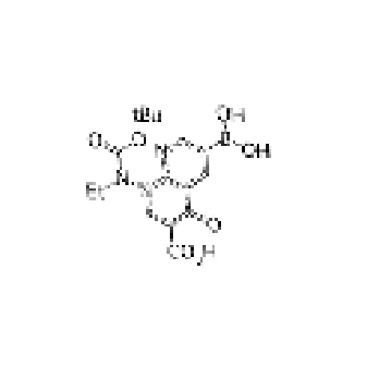 CCN(C(=O)OC(C)(C)C)n1cc(C(=O)O)c(=O)c2cc(B(O)O)cnc21